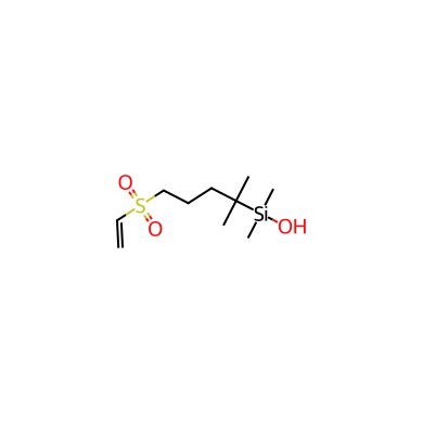 C=CS(=O)(=O)CCCC(C)(C)[Si](C)(C)O